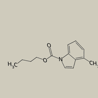 CCCCOC(=O)n1ccc2c(C)cccc21